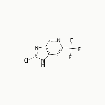 FC(F)(F)c1cc2[nH]c(Cl)nc2cn1